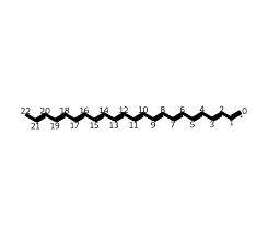 [CH]=CC=CC=CC=CC=CC=CC=CC=CC=CC=CC=CC